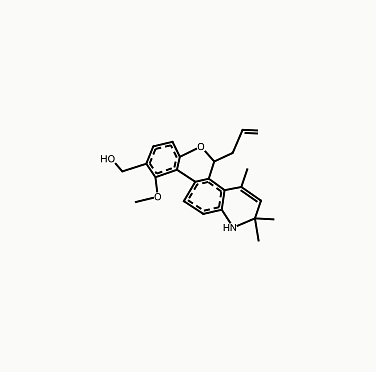 C=CCC1Oc2ccc(CO)c(OC)c2-c2ccc3c(c21)C(C)=CC(C)(C)N3